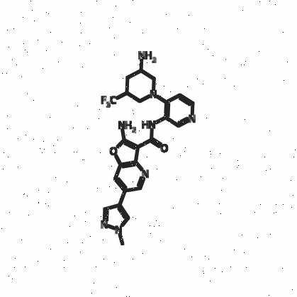 Cn1cc(-c2cnc3c(C(=O)Nc4cnccc4N4CC(N)CC(C(F)(F)F)C4)c(N)oc3c2)cn1